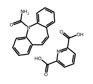 NC(=O)N1c2ccccc2C=Cc2ccccc21.O=C(O)c1cccc(C(=O)O)n1